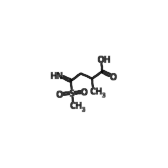 CC(CC(=N)S(C)(=O)=O)C(=O)O